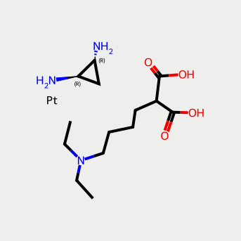 CCN(CC)CCCCC(C(=O)O)C(=O)O.N[C@@H]1C[C@H]1N.[Pt]